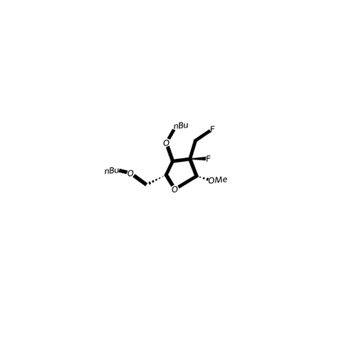 CCCCOC[C@H]1O[C@@H](OC)[C@@](F)(CF)C1OCCCC